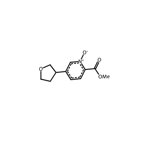 COC(=O)c1ccc(C2CCOC2)c[n+]1[O-]